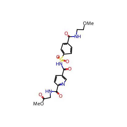 COCCNC(=O)c1ccc(S(=O)(=O)NC(=O)c2ccc(C(=O)NCC(=O)OC)nc2)cc1